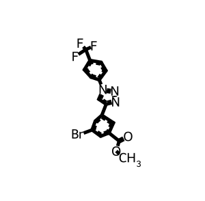 COC(=O)c1cc(Br)cc(-c2cn(-c3ccc(C(F)(F)F)cc3)nn2)c1